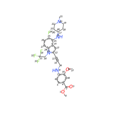 COC(=O)c1ccc(NCC#Cc2cc3c(N[C@@H]4CCN(C)C[C@H]4F)cccc3n2CC(F)(F)F)c(OC)c1